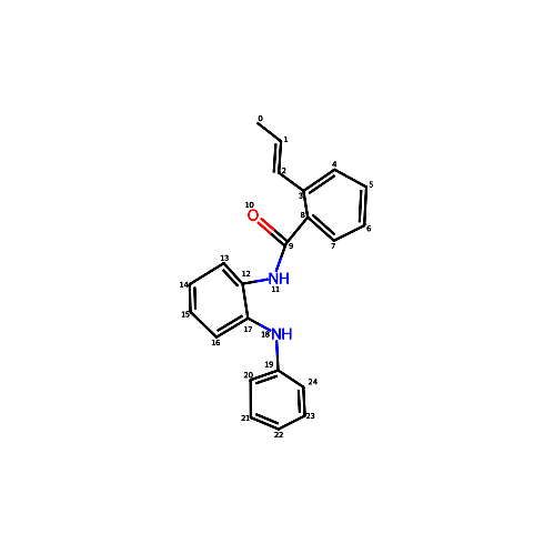 CC=Cc1ccccc1C(=O)Nc1ccccc1Nc1ccccc1